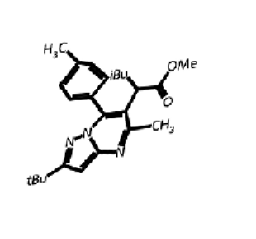 CCC(C)C(C(=O)OC)c1c(C)nc2cc(C(C)(C)C)nn2c1-c1ccc(C)cc1